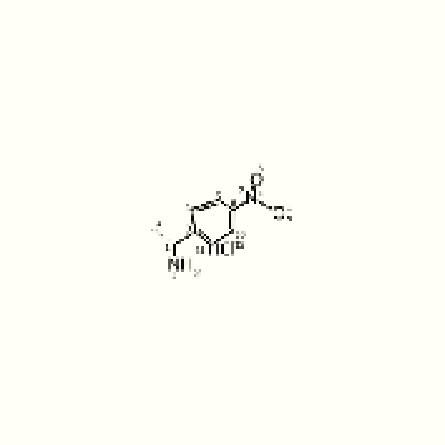 C[C@@H](N)c1ccc([N+](=O)[O-])cc1.Cl